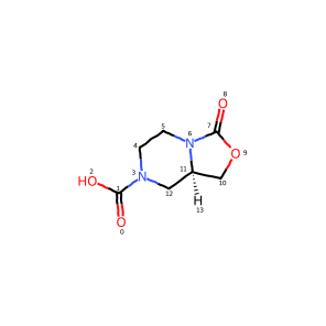 O=C(O)N1CCN2C(=O)OC[C@H]2C1